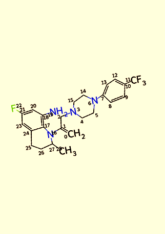 C=C(CN1CCN(c2ccc(C(F)(F)F)cc2)CC1)N1c2c(N)cc(F)cc2CCC1C